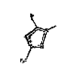 [B]c1cc(C(F)(F)F)nn1C